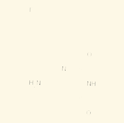 Cc1cc(F)ccc1-n1c(N)cc(=O)[nH]c1=O